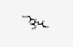 COCC(=O)N[C@@H](CCC(=O)C=N)C(=O)OC(C)C